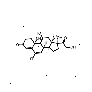 C[C@]12CCC(=O)C=C1C(Cl)=C[C@H]1[C@@H]3CC[C@](O)(C(=O)CO)[C@@]3(C)C[C@H](O)[C@@]12F